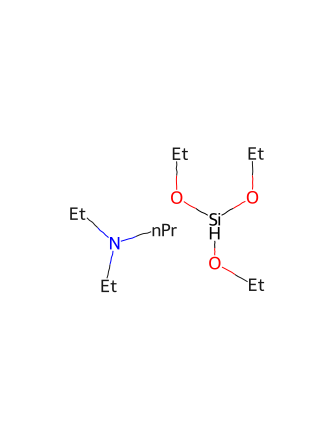 CCCN(CC)CC.CCO[SiH](OCC)OCC